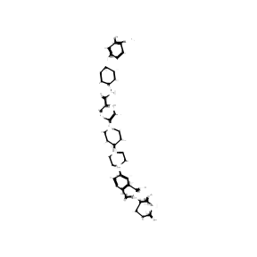 N#Cc1ccc(O[C@H]2CC[C@H](NC(=O)c3cnc(N4CCC(N5CCN(c6ccc7c(c6)C(=O)N(C6CCC(=O)NC6=O)C7=O)CC5)CC4)cn3)CC2)cc1Cl